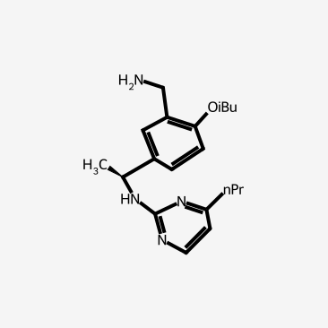 C[CH]Cc1ccnc(N[C@@H](C)c2ccc(OCC(C)C)c(CN)c2)n1